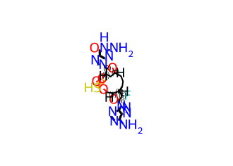 Nc1nc2c(ncn2[C@@H]2O[C@@H]3CCC[C@H]4[C@H](F)[C@H](n5nnc6c(N)ncnc65)O[C@@H]4COP(=O)(S)O[C@@H]2C3)c(=O)[nH]1